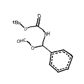 CC(C)(C)OC(=O)NC(OC=O)c1ccccc1